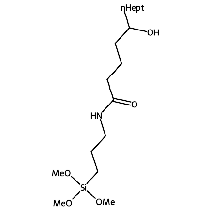 CCCCCCCC(O)CCCC(=O)NCCC[Si](OC)(OC)OC